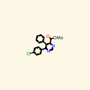 COC(=O)c1ncnc(-c2ccc(Cl)cc2)c1-c1ccccc1